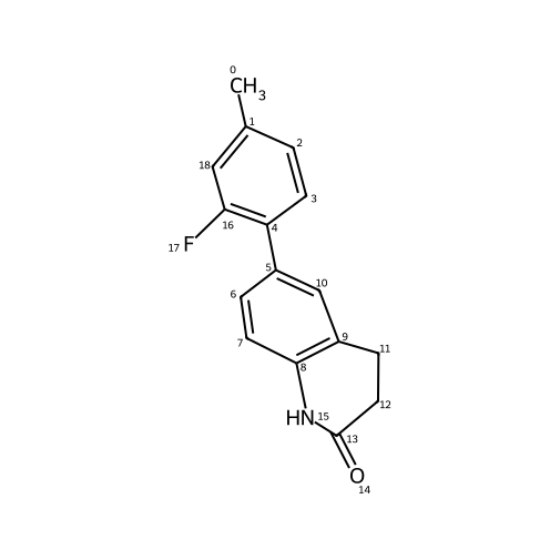 Cc1ccc(-c2ccc3c(c2)CCC(=O)N3)c(F)c1